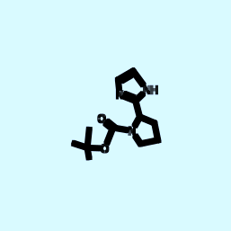 CC(C)(C)OC(=O)N1CCCC1c1ncc[nH]1